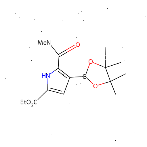 CCOC(=O)c1cc(B2OC(C)(C)C(C)(C)O2)c(C(=O)NC)[nH]1